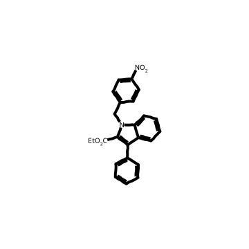 CCOC(=O)c1c(-c2ccccc2)c2ccccc2n1Cc1ccc([N+](=O)[O-])cc1